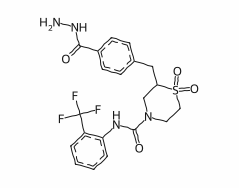 NNC(=O)c1ccc(CC2CN(C(=O)Nc3ccccc3C(F)(F)F)CCS2(=O)=O)cc1